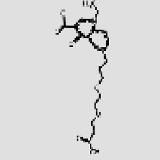 CCn1cc(C(=O)O)c(=O)c2cc(CCCOCCOCCC(=O)O)ccc21